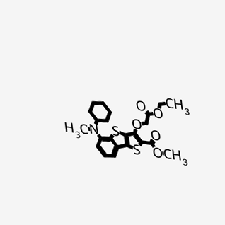 CCOC(=O)COc1c(C(=O)OC)sc2c1sc1c(N(C)C3CCCCC3)cccc12